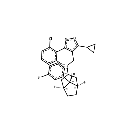 O[C@@]1(c2cccc(Br)c2)[C@@H]2CC[C@H]1C[C@@H](OCc1c(-c3c(Cl)cccc3Cl)noc1C1CC1)C2